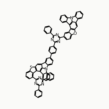 c1ccc(-c2nc(-c3ccc(-c4ccc5c(c4)c4cc6sc7cccc(-c8nc(-c9ccccc9)nc(-c9ccccc9)n8)c7c6c6c7ccccc7n5c46)cc3)nc(-c3ccc4oc5cc6c7ccccc7n7c8ccccc8c(c5c4c3)c67)n2)cc1